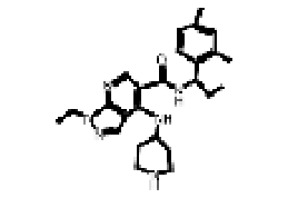 CCC(NC(=O)c1cnc2c(cnn2CC)c1NC1CCNCC1)c1ccc(C)cc1C